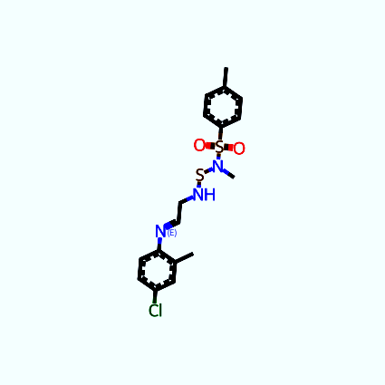 Cc1ccc(S(=O)(=O)N(C)SNC/C=N/c2ccc(Cl)cc2C)cc1